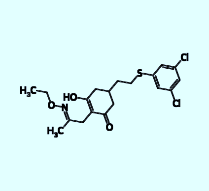 CCON=C(C)CC1=C(O)CC(CCSc2cc(Cl)cc(Cl)c2)CC1=O